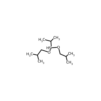 CC(C)CO[SiH](OCC(C)C)C(C)C